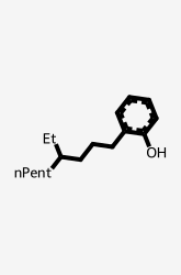 CCCCCC(CC)CCCc1ccccc1O